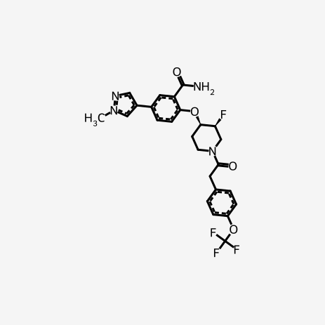 Cn1cc(-c2ccc(O[C@@H]3CCN(C(=O)Cc4ccc(OC(F)(F)F)cc4)C[C@@H]3F)c(C(N)=O)c2)cn1